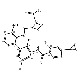 CCC(=O)N1CC[C@H]1COc1c(N)ncnc1-c1cc(F)cc(NC(=O)c2ccc(C3CC3)cc2F)c1C